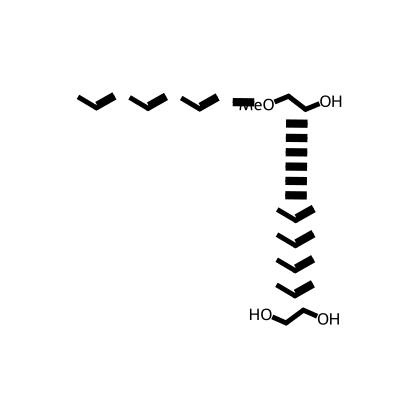 C=C.C=C.C=C.C=C.C=C.C=C.C=C.C=CC.C=CC.C=CC.C=CC.C=CC.C=CC.C=CC.COCCO.OCCO